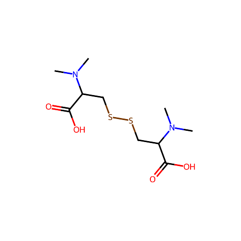 CN(C)C(CSSCC(C(=O)O)N(C)C)C(=O)O